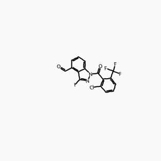 O=Cc1cccc2c1c(I)nn2C(=O)c1c(Cl)cccc1C(F)(F)F